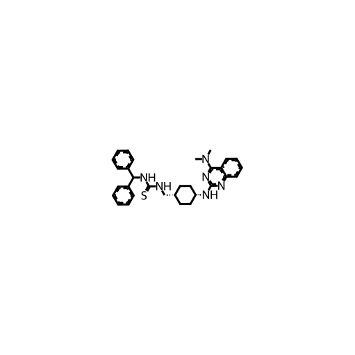 CN(C)c1nc(N[C@H]2CC[C@@H](CNC(=S)NC(c3ccccc3)c3ccccc3)CC2)nc2ccccc12